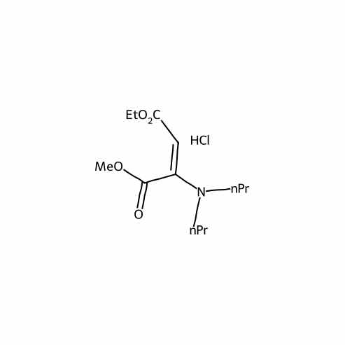 CCCN(CCC)C(=CC(=O)OCC)C(=O)OC.Cl